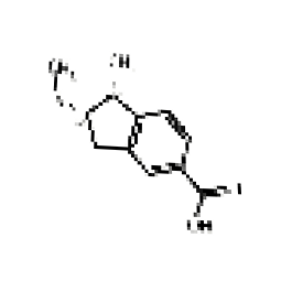 CC[C@H]1Cc2cc(C(=O)O)ccc2[C@H]1C